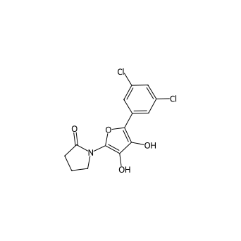 O=C1CCCN1c1oc(-c2cc(Cl)cc(Cl)c2)c(O)c1O